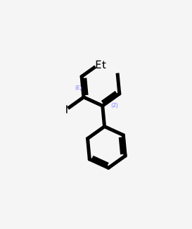 C/C=C(\C(I)=C/CC)C1C=CC=CC1